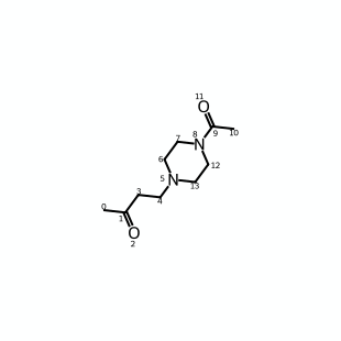 CC(=O)CCN1CCN(C(C)=O)CC1